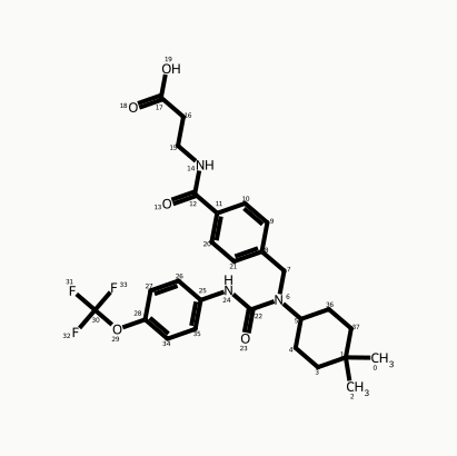 CC1(C)CCC(N(Cc2ccc(C(=O)NCCC(=O)O)cc2)C(=O)Nc2ccc(OC(F)(F)F)cc2)CC1